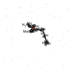 COc1cc(C)c(S(=O)(=O)N[C@@H](CC(=O)NCCCC(=O)N[C@@H](CCCCNC(=O)CCCCC2SC[C@@H]3NC(=O)N[C@H]23)C(N)=O)C(=O)N[C@H](Cc2ccc(C(=N)N)cc2)C(=O)N2CCCCC2)c(C)c1C